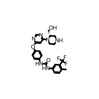 Cc1ccc(NC(=O)Nc2ccc(Oc3cc(N4CCNC[C@H]4CO)ncn3)cc2)cc1C(F)(F)F